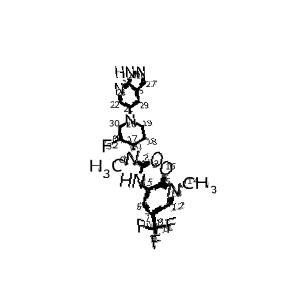 CN(C(=O)Nc1cc(C(F)(F)F)cn(C)c1=O)[C@@H]1CCN(c2cnc3[nH]ncc3c2)C[C@@H]1F